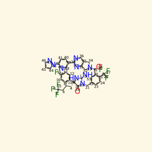 N=C1N[C@](CCCC(F)(F)F)(c2ccc(F)cc2)C(=O)N1Cc1ccc(C(F)(F)F)c(C(=O)N2Cc3cnc(-c4ccc(-n5cccn5)nc4)nc3C2)c1